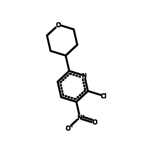 O=[N+]([O-])c1ccc(C2CCOCC2)nc1Cl